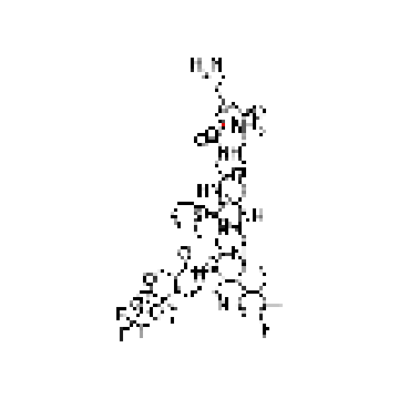 CC[C@@]1(OC(=O)C(F)(F)F)C(=O)OCc2c1cc1n(c2=O)Cc2c-1nc1cc(F)c(C)c3c1c2[C@@H](N(CC(=O)NC(=O)CCCCCN1C(=O)C=CC1=O)C(=O)[C@H](Cc1ccccc1)NC(=O)CNC(=O)CNC(=O)[C@@H](N)CCCCN)CC3